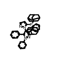 c1ccc(-c2nn(-c3ccccc3)c(-c3ccccc3)c2-n2nccc2P(C23CC4CC(CC(C4)C2)C3)C23CC4CC(CC(C4)C2)C3)cc1